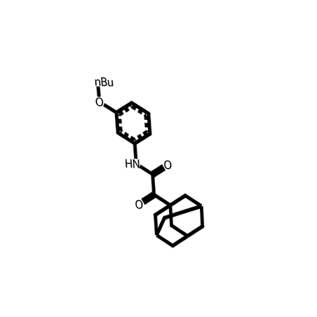 CCCCOc1cccc(NC(=O)C(=O)C23CC4CC(CC(C4)C2)C3)c1